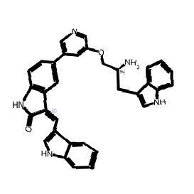 N[C@H](COc1cncc(-c2ccc3c(c2)/C(=C/c2c[nH]c4ccccc24)C(=O)N3)c1)Cc1c[nH]c2ccccc12